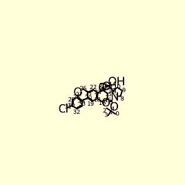 CC(C)(C)OC(=O)N1CCC[C@@]1(C(=O)O)C1CCc2cc3c(cc2C1=O)COc1cc(Cl)ccc1-3